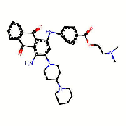 CN(C)CCOC(=O)c1ccc(Nc2cc(N3CCC(N4CCCCC4)CC3)c(N)c3c2C(=O)c2ccccc2C3=O)cc1